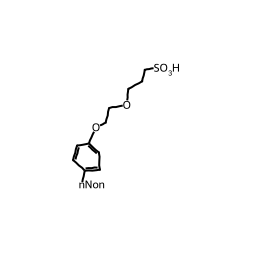 CCCCCCCCCc1ccc(OCCOCCCS(=O)(=O)O)cc1